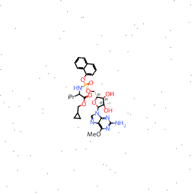 COc1nc(N)nc2c1ncn2C1O[C@H](COP(=O)(NC(C(=O)OCC2CC2)C(C)C)Oc2cccc3ccccc23)[C@@H](O)[C@@]1(C)O